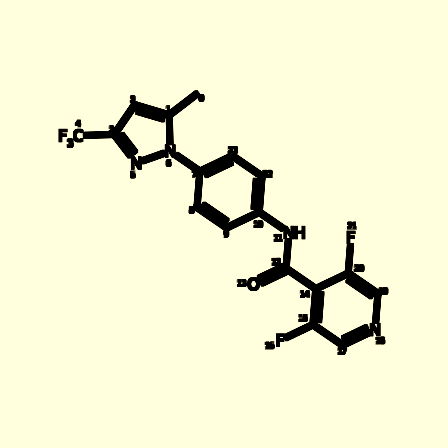 Cc1cc(C(F)(F)F)nn1-c1ccc(NC(=O)c2c(F)cncc2F)cc1